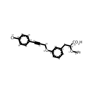 CC(C)O[C@@H](Cc1cccc(OCC#Cc2ccc(Cl)cc2)c1)C(=O)O